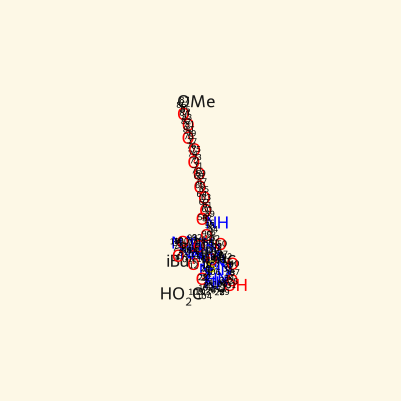 CC[C@H](C)[C@H](NC(=O)C(C)(C)N(C)C)C(=O)N(C)[C@H](C[C@@H](OC(C)=O)c1nc(C(=O)N[C@@H](Cc2ccc(O)c(NC(=O)[C@H](C)NC(=O)[C@H](C)NC(=O)[C@H](C)NC(=O)[C@H](CCCCNC(=O)COCCOCCOCCOCCOCCOCCOCCOCCOCCOC)NC(=O)CCCN3C(=O)C=CC3=O)c2)C[C@H](C)C(=O)O)cs1)C(C)C